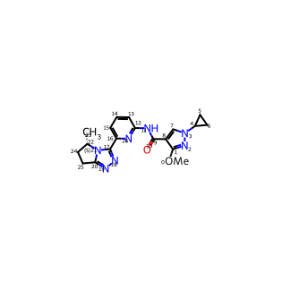 COc1nn(C2CC2)cc1C(=O)Nc1cccc(-c2nnc3n2[C@@H](C)CC3)n1